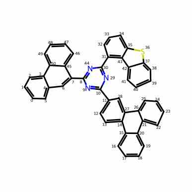 c1ccc2c(c1)cc(-c1nc(-c3ccc4c5ccccc5c5ccccc5c4c3)nc(-c3cccc4sc5ccccc5c34)n1)c1ccccc12